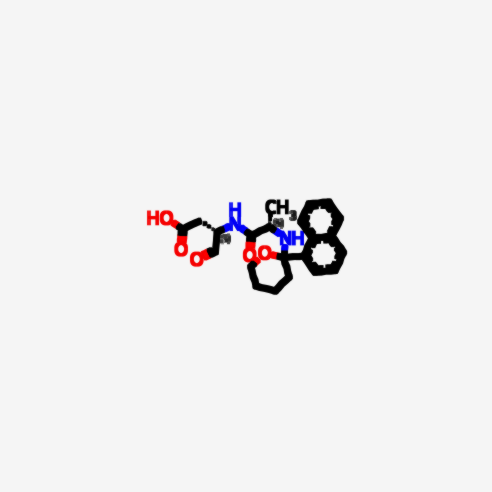 C[C@H](NC1(c2cccc3ccccc23)CCCCO1)C(=O)N[C@H](C=O)CC(=O)O